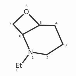 CCN1CCCC2OCC21